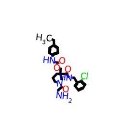 CCc1ccc(NC(=O)OCC2(C(=O)NCc3ccccc3Cl)CCCN(C(=O)CN)C2)cc1